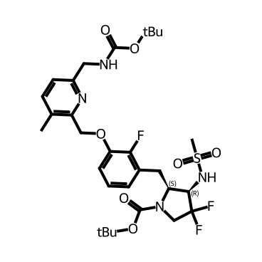 Cc1ccc(CNC(=O)OC(C)(C)C)nc1COc1cccc(C[C@H]2[C@@H](NS(C)(=O)=O)C(F)(F)CN2C(=O)OC(C)(C)C)c1F